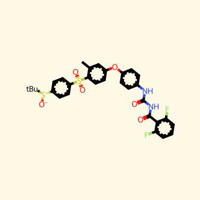 Cc1cc(Oc2ccc(NC(=O)NC(=O)c3c(F)cccc3F)cc2)ccc1S(=O)(=O)c1ccc([S+]([O-])C(C)(C)C)cc1